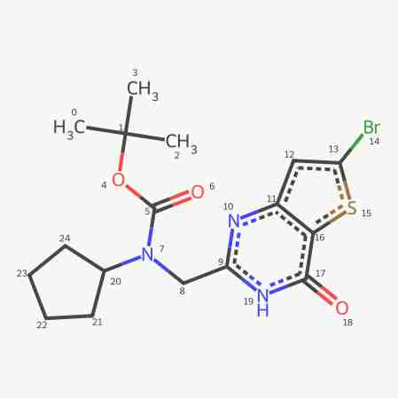 CC(C)(C)OC(=O)N(Cc1nc2cc(Br)sc2c(=O)[nH]1)C1CCCC1